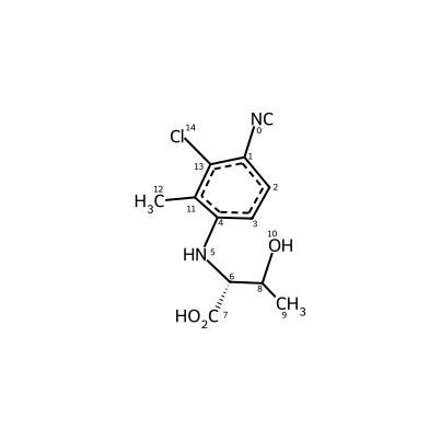 [C-]#[N+]c1ccc(N[C@@H](C(=O)O)C(C)O)c(C)c1Cl